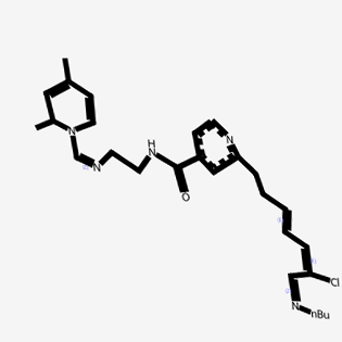 CCCC\N=C/C(Cl)=C\C=C\CCc1cc(C(=O)NCC/N=C\N2C=CC(C)=CC2C)ccn1